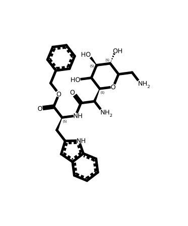 NCC1O[C@@H](C(N)C(=O)N[C@@H](Cc2cc3ccccc3[nH]2)C(=O)OCc2ccccc2)C(O)[C@@H](O)[C@@H]1O